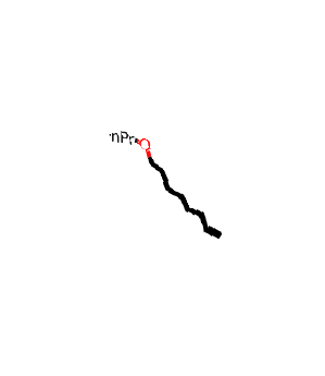 C=CCCCCCCO[CH]CC